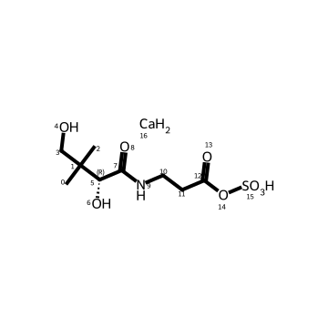 CC(C)(CO)[C@@H](O)C(=O)NCCC(=O)OS(=O)(=O)O.[CaH2]